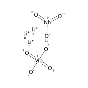 [Li+].[Li+].[Li+].[O]=[Mo](=[O])([O-])[O-].[O]=[Nb](=[O])[O-]